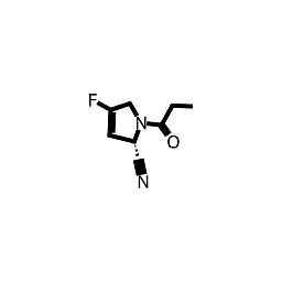 CCC(=O)N1CC(F)=C[C@H]1C#N